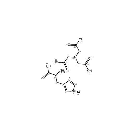 N[C@@H](Cc1c[nH]cn1)C(=O)O.O=C(O)CN(CC(=O)O)CC(=O)O.[Ni]